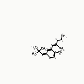 CC(C)(C)C=C1C=C(C=C(N)CCN)C(O)=CC1